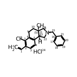 C=Cc1ccc2c(c1Cl)CC[C@]1(C)CN(Cc3ccccc3)C[C@H]21.Cl